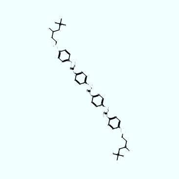 CC(CCOc1ccc(/N=N/c2ccc(/N=N/c3ccc(/N=N/c4ccc(OCCC(C)CC(C)(C)C)cc4)cc3)cc2)cc1)CC(C)(C)C